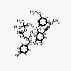 COc1cc(Nc2nc(N[C@H](c3ccc(F)cc3)[C@H](C)NC(=O)OC(C)(C)C)c(F)cc2C#N)cc(OC)c1